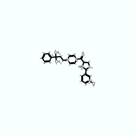 CC(C)(CCN1C=CN(C(=O)C2CSC(c3ccc[n+]([O-])c3)N2)C=C1)c1ccccc1